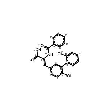 O=C(O)C(=Cc1ccc(O)c(-c2ccccc2Cl)c1)NC(=O)c1ccccc1